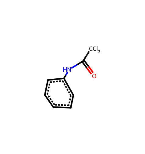 O=C(Nc1ccccc1)C(Cl)(Cl)Cl